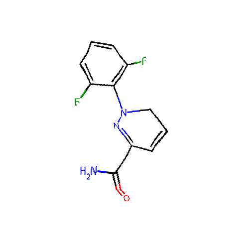 NC(=O)C1=NN(c2c(F)cccc2F)CC=C1